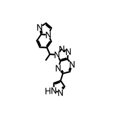 CC(c1ccc2nccn2c1)n1nnc2ncc(-c3cn[nH]c3)nc21